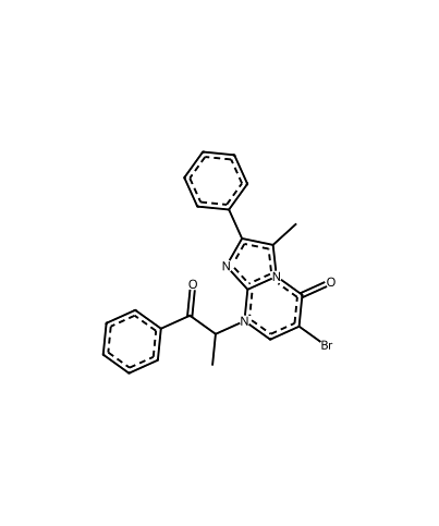 Cc1c(-c2ccccc2)nc2n(C(C)C(=O)c3ccccc3)cc(Br)c(=O)n12